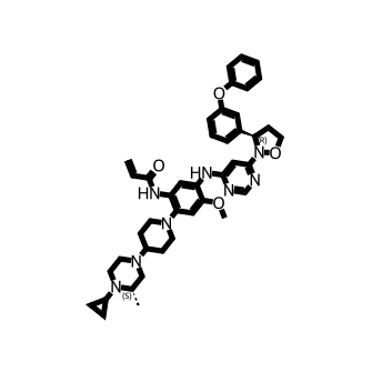 C=CC(=O)Nc1cc(Nc2cc(N3OCC[C@@H]3c3cccc(Oc4ccccc4)c3)ncn2)c(OC)cc1N1CCC(N2CCN(C3CC3)[C@@H](C)C2)CC1